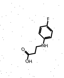 O=C(O)CCNc1ccc(F)cc1